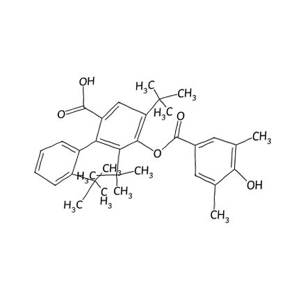 Cc1cc(C(=O)Oc2c(C(C)(C)C)cc(C(=O)O)c(-c3ccccc3C(C)(C)C)c2C(C)(C)C)cc(C)c1O